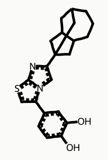 Oc1ccc(-c2csc3nc(C45CC6CCCC(C4)C(C6)C5)cn23)cc1O